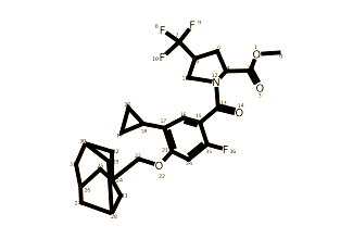 COC(=O)C1CC(C(F)(F)F)CN1C(=O)c1cc(C2CC2)c(OCC23CC4CC(CC(C4)C2)C3)cc1F